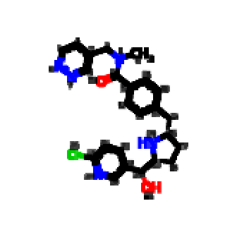 CN(Cc1ccnnc1)C(=O)c1ccc(C[C@@H]2CC[C@H]([C@H](O)c3ccc(Cl)nc3)N2)cc1